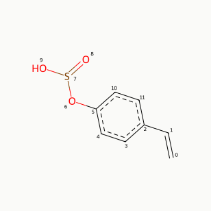 C=Cc1ccc(OS(=O)O)cc1